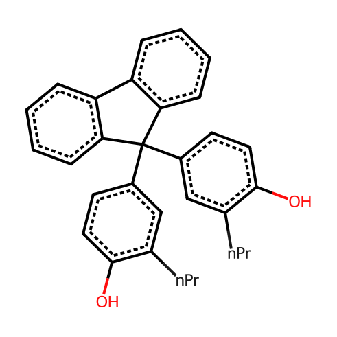 CCCc1cc(C2(c3ccc(O)c(CCC)c3)c3ccccc3-c3ccccc32)ccc1O